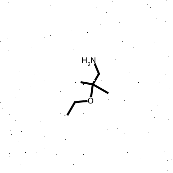 [CH2]COC(C)(C)CN